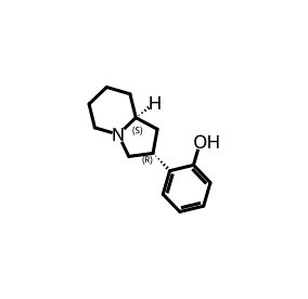 Oc1ccccc1[C@H]1C[C@@H]2CCCCN2C1